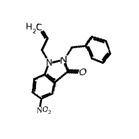 C=CCn1c2ccc([N+](=O)[O-])cc2c(=O)n1Cc1ccccc1